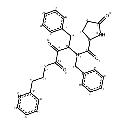 O=C1CCC(C(=O)N(Cc2ccccc2)C(Cc2ccccc2)C(=O)C(=O)NCCc2ccccn2)N1